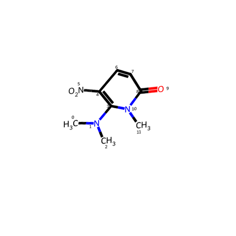 CN(C)c1c([N+](=O)[O-])ccc(=O)n1C